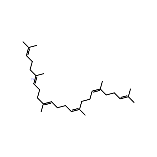 CC(C)=CCCC(C)=CCCC(C)=CCCC=C(C)CC/C=C(\C)CCC=C(C)C